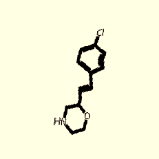 Clc1ccc(/C=C/C2CNCCO2)cc1